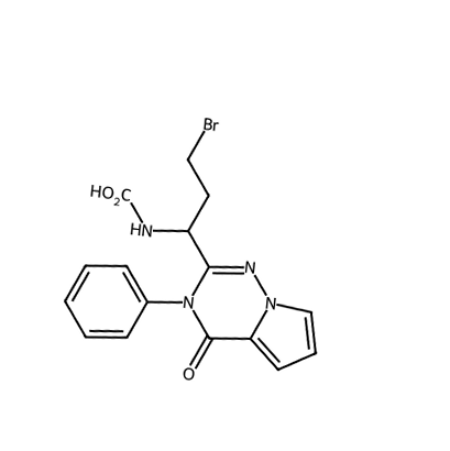 O=C(O)NC(CCBr)c1nn2cccc2c(=O)n1-c1ccccc1